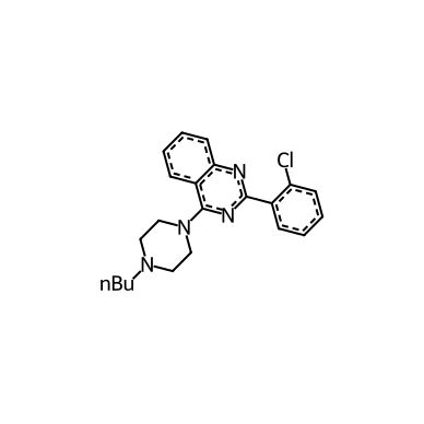 CCCCN1CCN(c2nc(-c3ccccc3Cl)nc3ccccc23)CC1